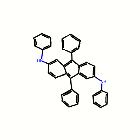 c1ccc(Nc2ccc3c(-c4ccccc4)c4cc(Nc5ccccc5)ccc4c(-c4ccccc4)c3c2)cc1